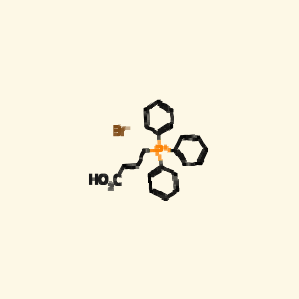 O=C(O)C=CC[P+](c1ccccc1)(c1ccccc1)c1ccccc1.[Br-]